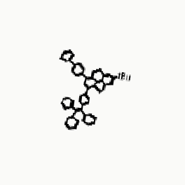 CC(C)(C)c1cc2ccc3c(-c4ccc(C(=C(c5ccccc5)c5ccccc5)c5ccccc5)cc4)cc(-c4ccc(-c5ccccc5)cc4)c4ccc(c1)c2c34